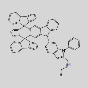 C=C/C=C\c1cc2ccc(-n3c4ccccc4c4cc5c(cc43)C3(c4ccccc4-c4ccccc43)c3ccccc3C53c4ccccc4-c4ccccc43)cc2n1-c1ccccc1